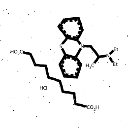 CCN(CC)C(C)CN1c2ccccc2Sc2ccccc21.Cl.O=C(O)CCCCCCCCC(=O)O